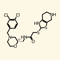 O=C(CSC1NC2=C(CNCC2)S1)NC[C@H]1CN(Cc2ccc(Cl)c(Cl)c2)CCO1